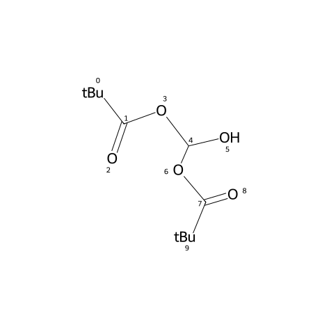 CC(C)(C)C(=O)OC(O)OC(=O)C(C)(C)C